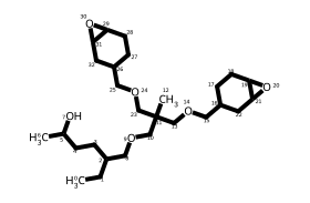 CCC(CCC(C)O)COCC(C)(COCC1CCC2OC2C1)COCC1CCC2OC2C1